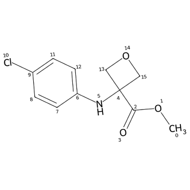 COC(=O)C1(Nc2ccc(Cl)cc2)COC1